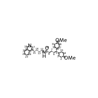 COc1ccc(C(=C/C=C/C(=O)NCCCCc2cncc3ccccc23)c2ccc(OC)cc2)cc1